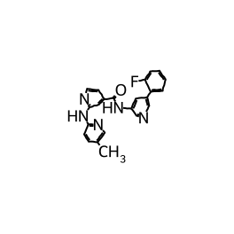 Cc1ccc(Nc2cc(C(=O)Nc3cncc(-c4ccccc4F)c3)ccn2)nc1